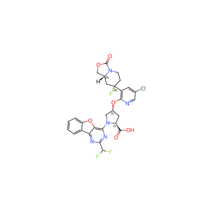 O=C(O)[C@@H]1C[C@H](Oc2ncc(Cl)cc2[C@@]2(F)CCN3C(=O)OC[C@H]3C2)CN1c1nc(C(F)F)nc2c1oc1ccccc12